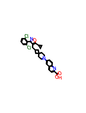 O=C(O)c1ccc2cc(N3CCC4(CC3)CC(Cc3c(-c5c(Cl)cccc5Cl)noc3C3CC3)C4)ccc2n1